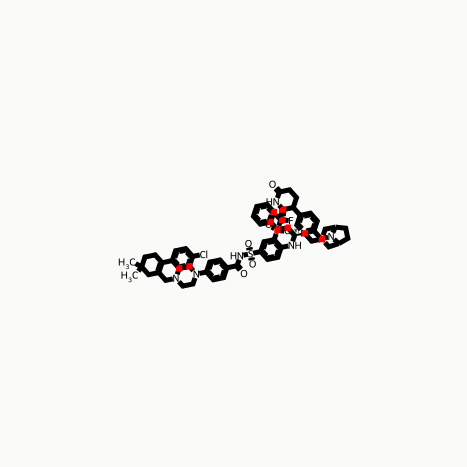 CC1(C)CCC(c2ccc(Cl)cc2)=C(CN2CCN(c3ccc(C(=O)NS(=O)(=O)c4ccc(N[C@H](CCN5CC6CCC(C5)N6Cc5ccc(C6CCC(=O)NC6=O)cn5)CSc5ccccc5)c(S(=O)(=O)C(F)(F)F)c4)cc3)CC2)C1